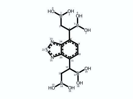 OB(O)CC(B(O)O)c1ccc(C(CB(O)O)B(O)O)c2nsnc12